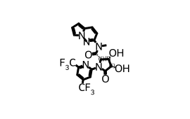 CN(C(=O)[C@@H]1[C@H](O)[C@H](O)C(=O)N1c1cc(C(F)(F)F)cc(C(F)(F)F)n1)c1ccc2cccn2n1